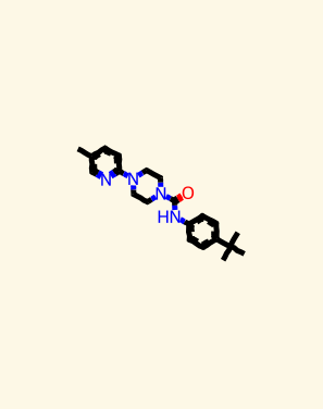 Cc1ccc(N2CCN(C(=O)Nc3ccc(C(C)(C)C)cc3)CC2)nc1